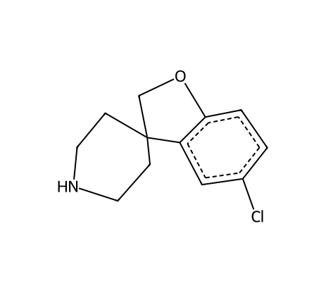 Clc1ccc2c(c1)C1(CCNCC1)CO2